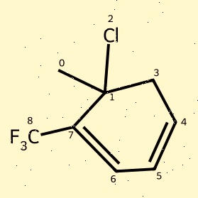 CC1(Cl)CC=CC=C1C(F)(F)F